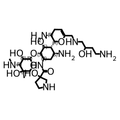 CN[C@@H]1[C@@H](O)[C@@H](O[C@H]2[C@H](NC(=O)C3(O)CCNC3)C[C@H](N)C([C@H]3OC(CNCC(O)CCN)=CC[C@H]3N)[C@@H]2O)OC[C@]1(C)O